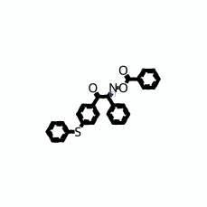 O=C(O/N=C(/C(=O)c1ccc(Sc2ccccc2)cc1)c1ccccc1)c1ccccc1